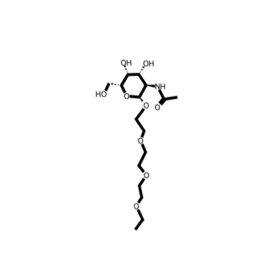 CCOCCOCCOCCO[C@@H]1O[C@H](CO)[C@H](O)[C@H](O)[C@H]1NC(C)=O